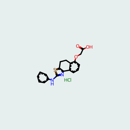 Cl.O=C(O)COc1cccc2c1CCc1sc(Nc3ccccc3)nc1-2